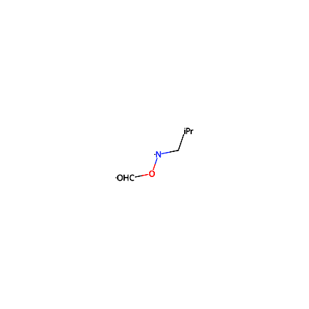 CC(C)C[N]O[C]=O